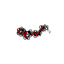 CCCN(CCC)C(=O)C1=Cc2ccc(C(=O)Nc3cnc4c(c3)CN(C(=O)[C@H](C)NC(=O)[C@H](C)NC(=O)CCc3ccc(N5C(=O)C=CC5=O)cc3OCCCC(=O)N(C)CC(=O)N(C)CC(=O)N(C)CC(=O)N(C)CC(=O)N(C)CC(=O)N(C)CC(=O)N(C)CC(=O)N(C)CC(=O)N(C)CC(=O)N(C)CC(C)=O)CC4)cc2N=C(N)C1